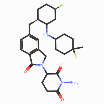 CC1(F)CCC(NC2C[C@H](F)CC[C@@H]2Cc2ccc3c(c2)CN(C2CCC(=O)N(N)C2=O)C3=O)CC1